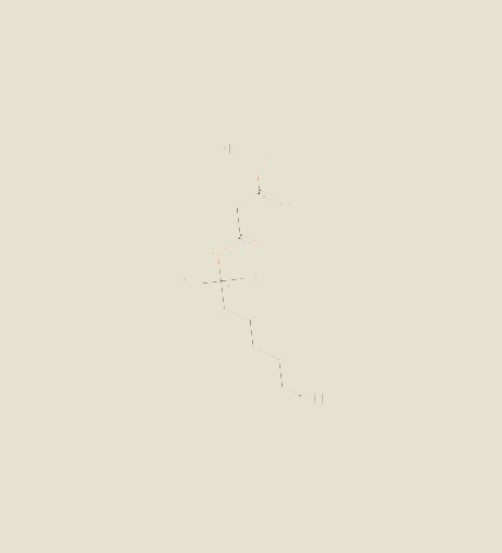 CCCCCCC(C)(C)OC(=O)CC(=O)[O-].[Li+]